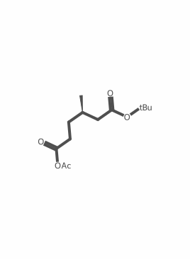 CC(=O)OC(=O)CC[C@@H](C)CC(=O)OC(C)(C)C